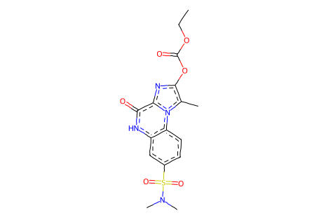 CCOC(=O)Oc1nc2c(=O)[nH]c3cc(S(=O)(=O)N(C)C)ccc3n2c1C